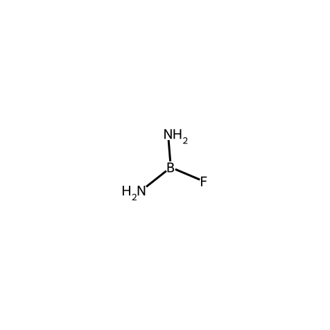 NB(N)F